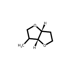 CC1CO[C@@H]2CCO[C@H]12